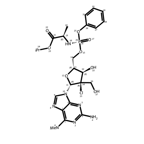 CNc1nc(N)nc2c1ncn2[C@@H]1O[C@H](CO[P@@](=O)(N[C@H](C)C(=O)OC(C)C)Oc2ccccc2)[C@@H](O)[C@]1(Cl)CO